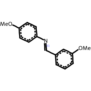 COc1ccc(/N=C/c2cccc(OC)c2)cc1